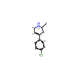 CC1CC(c2ccc(Cl)cc2)=CCN1